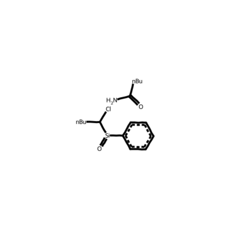 CCCCC(Cl)[Si](=O)c1ccccc1.CCCCC(N)=O